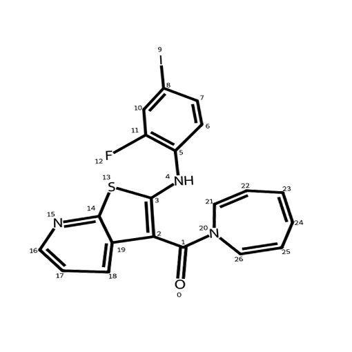 O=C(c1c(Nc2ccc(I)cc2F)sc2ncccc12)N1C=CC=CC=C1